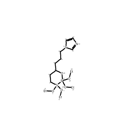 CCO[Si]1(OCC)CCC(CCCn2ccnc2)O[Si]1(OCC)OCC